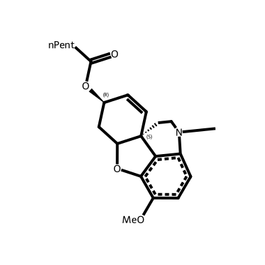 CCCCCC(=O)O[C@H]1C=C[C@@]23CCN(C)c4ccc(OC)c(c42)OC3C1